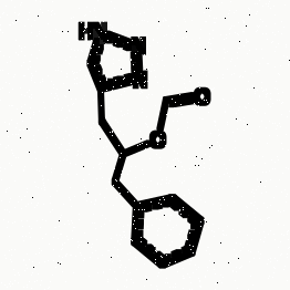 O=COC(Cc1ccccc1)Cc1c[nH]nn1